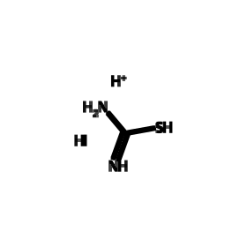 I.N=C(N)S.[H+]